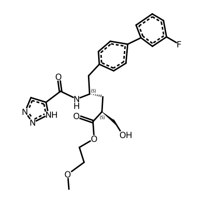 COCCOC(=O)[C@H](CO)C[C@@H](Cc1ccc(-c2cccc(F)c2)cc1)NC(=O)c1cnn[nH]1